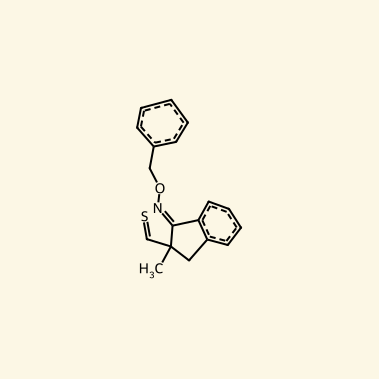 CC1(C=S)Cc2ccccc2C1=NOCc1ccccc1